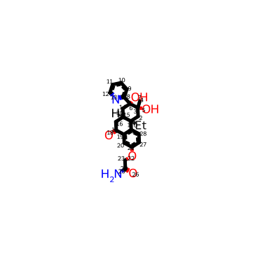 CCC12CC(C)(O)C(O)(c3ccccn3)C[C@@H]1CC(=O)c1cc(OCC(N)=O)ccc12